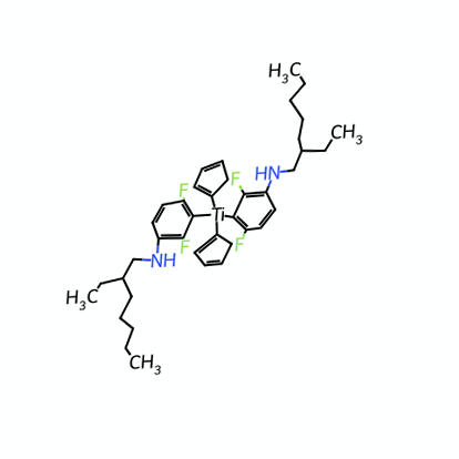 CCCCCC(CC)CNc1ccc(F)[c]([Ti]([C]2=CC=CC2)([C]2=CC=CC2)[c]2c(F)ccc(NCC(CC)CCCCC)c2F)c1F